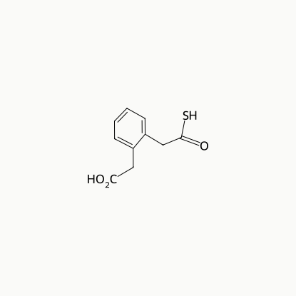 O=C(O)Cc1ccccc1CC(=O)S